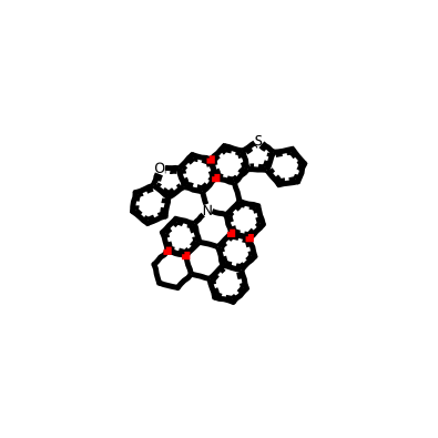 c1ccc(N(c2ccccc2-c2cccc3sc4ccccc4c23)c2cccc3oc4ccccc4c23)c(-c2cccc3cccc(C4CCCCC4)c23)c1